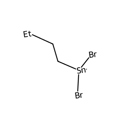 CCC[CH2][Sn]([Br])[Br]